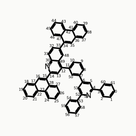 c1ccc(-c2cc(-c3cccc(-c4cc(-c5cc6ccccc6c6ccccc56)nc5ccc(-c6cc7ccccc7c7ccccc67)cc45)c3)cc(-c3ccccc3)n2)cc1